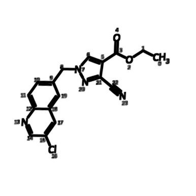 CCOC(=O)c1cn(Cc2ccc3ncc(Cl)cc3c2)nc1C#N